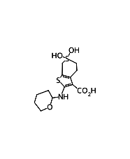 O=C(O)c1c(NC2CCCCO2)sc2c1CCS(O)(O)C2